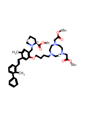 Cc1cc(CN2CCCC[C@H]2C(=O)OC(C)C)c(OCCCCN2CCN(CC(=O)OC(C)(C)C)CCN(CC(=O)OC(C)(C)C)CC2)cc1/C=C/c1cccc(-c2ccccc2)c1C